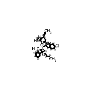 CC#CC(CC(=O)NC(Cc1ccc(Cl)cc1Cl)C(=O)N1CC(OCCCC)(c2ccccc2C)C1)c1c[nH]cn1